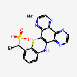 CCC(c1cccc2c1Sc1c(c3nccnc3c3nccnc13)N2)S(=O)(=O)[O-].[Na+]